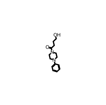 O=C(CCCO)N1CCN(c2ccccc2)CC1